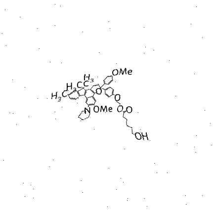 COc1ccc(C2(c3ccc(OCCOC(=O)CCCCCO)cc3)C=Cc3c4c(c5cc(N6CCCCC6)c(OC)cc5c3O2)-c2ccc(C)cc2C4(C)C)cc1